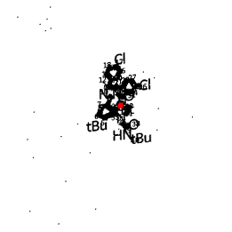 CCOc1cc(C(C)(C)C)ccc1C1=N[C@@](C)(c2ccc(Cl)cc2)[C@@](C)(c2ccc(Cl)cc2)N1C(=O)N1CCN(CC(=O)NC(C)(C)C)CC1